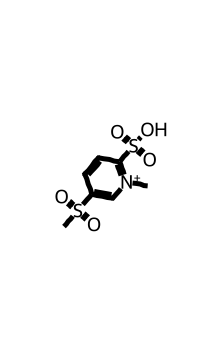 C[n+]1cc(S(C)(=O)=O)ccc1S(=O)(=O)O